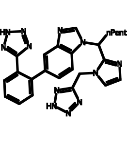 CCCCCC(c1nccn1Cc1nn[nH]n1)n1cnc2cc(-c3ccccc3-c3nn[nH]n3)ccc21